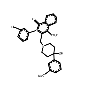 COc1cccc(C2(O)CCN(Cc3c(C(=O)O)c4ccccc4c(=O)n3-c3cccc(Cl)c3)CC2)c1